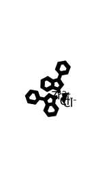 C1=C(c2ccccc2)c2ccccc2[CH]1[Zr+2]1([CH]2C=C(c3ccccc3)c3ccccc32)[CH2][CH2]1.[Cl-].[Cl-]